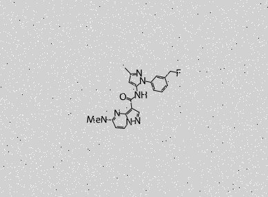 CNc1ccn2ncc(C(=O)Nc3cc(C)nn3-c3cccc(CF)c3)c2n1